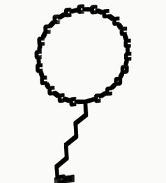 CCCCCCCCCCCCCCCCC1CCCCCCCCCCCCCCCCCOOCC1